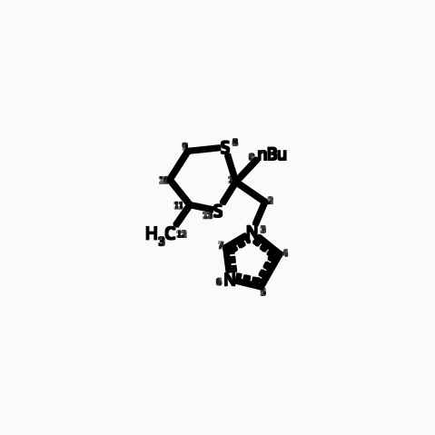 CCCCC1(Cn2ccnc2)SCCC(C)S1